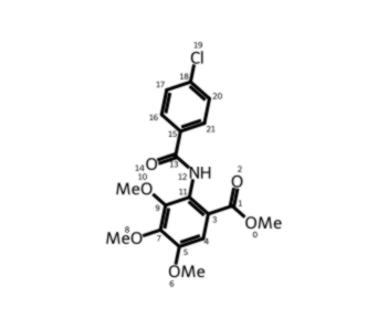 COC(=O)c1cc(OC)c(OC)c(OC)c1NC(=O)c1ccc(Cl)cc1